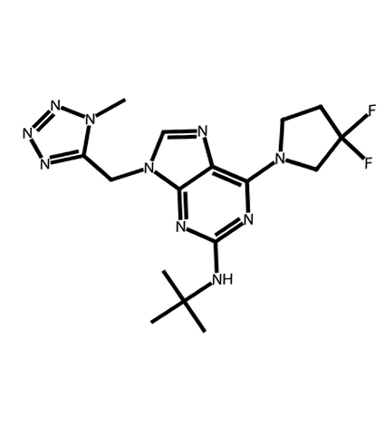 Cn1nnnc1Cn1cnc2c(N3CCC(F)(F)C3)nc(NC(C)(C)C)nc21